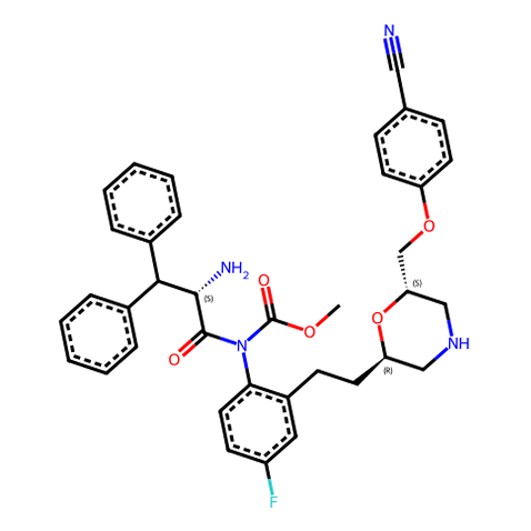 COC(=O)N(C(=O)[C@@H](N)C(c1ccccc1)c1ccccc1)c1ccc(F)cc1CC[C@@H]1CNC[C@@H](COc2ccc(C#N)cc2)O1